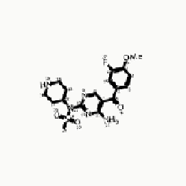 COc1ccc(C(=O)c2cnc(N(C3CCNCC3)S(C)(=O)=O)nc2N)cc1F